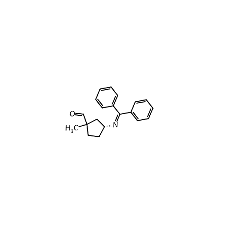 CC1(C=O)CC[C@@H](N=C(c2ccccc2)c2ccccc2)C1